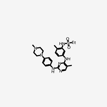 CCS(=O)(=O)Nc1cc(Nc2nc(Nc3ccc(N4CCN(C)CC4)cc3)ncc2C)ccc1C